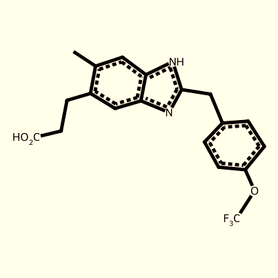 Cc1cc2[nH]c(Cc3ccc(OC(F)(F)F)cc3)nc2cc1CCC(=O)O